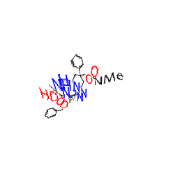 CNC(=O)OCC1(c2ccccc2)CCn2c(nnc2[C@@H](COCc2ccccc2)NC(=O)C(C)(N)O)C1